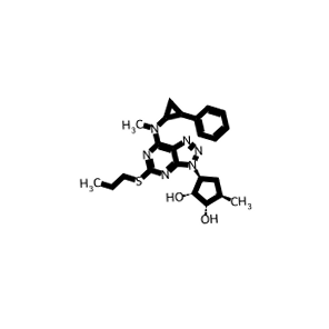 CCCSc1nc(N(C)C2CC2c2ccccc2)c2nnn([C@H]3C[C@@H](C)[C@H](O)[C@@H]3O)c2n1